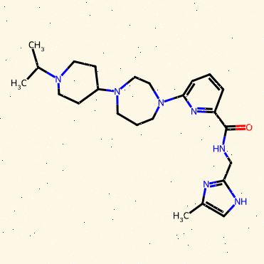 Cc1c[nH]c(CNC(=O)c2cccc(N3CCCN(C4CCN(C(C)C)CC4)CC3)n2)n1